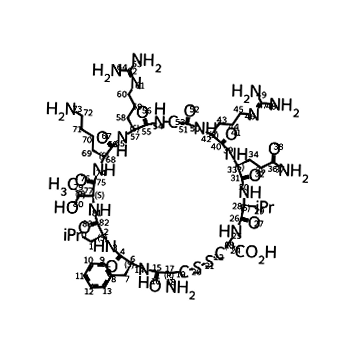 CC(C)C[C@@H]1NC(=O)[C@H](Cc2ccccc2)NC(=O)[C@@H](N)CSSC[C@@H](C(=O)O)NC(=O)[C@H](C(C)C)NC(=O)[C@H](CCC(N)=O)NC(=O)[C@H](CCCN=C(N)N)NC(=O)CNC(=O)[C@H](CCCN=C(N)N)NC(=O)[C@H](CCCCN)NC(=O)[C@H]([C@@H](C)O)NC1=O